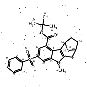 Cn1c2c(c3c(C(=O)OC(C)(C)C)cc(S(=O)(=O)c4ccccc4)cc31)C1CCC(C2)N1